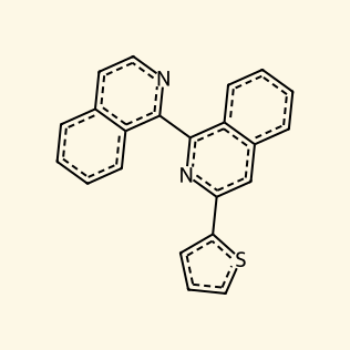 c1csc(-c2cc3ccccc3c(-c3nccc4ccccc34)n2)c1